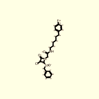 O=C(CN1C(=O)C(Cl)C1[S+]([O-])Cc1ccccc1)NCCCCCCc1ccc(F)cc1